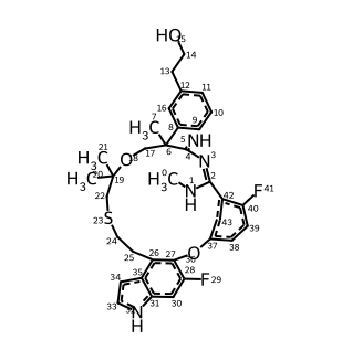 CN/C1=N\C(=N)C(C)(c2cccc(CCO)c2)COC(C)(C)CSCCc2c(c(F)cc3[nH]ccc23)Oc2ccc(F)c1c2